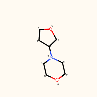 C1CN([C]2CCOC2)CCO1